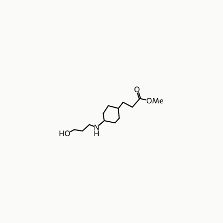 COC(=O)CCC1CCC(NCCCO)CC1